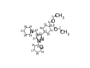 CCOCC1(COCC)CCC(c2nn(C3CCCCO3)cc2CN2CC[CH]CC2)CC1